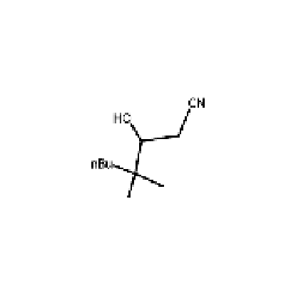 CCCCC(C)(C)C(O)CC#N